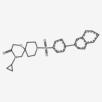 O=C1COC2(CCN(S(=O)(=O)c3ccc(-c4ccc5ccccc5c4)cc3)CC2)CN1C1CC1